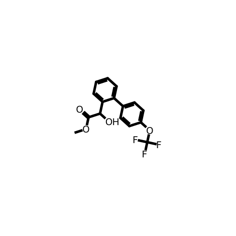 COC(=O)C(O)c1ccccc1-c1ccc(OC(F)(F)F)cc1